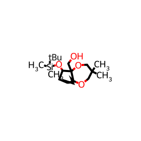 CC1(C)COC23CCCC2CC(O[Si](C)(C)C(C)(C)C)C3(CO)OC1